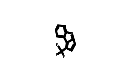 FC(F)(F)C1=C2C(=Nc3ccccc32)C=C1